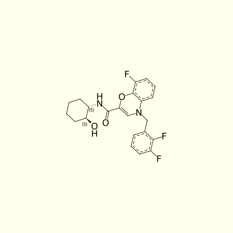 O=C(N[C@H]1CCCC[C@@H]1O)C1=CN(Cc2cccc(F)c2F)c2cccc(F)c2O1